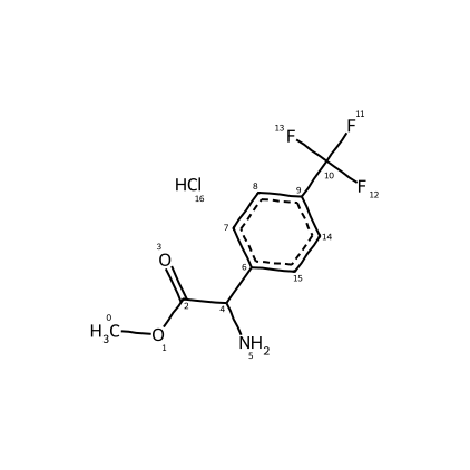 COC(=O)C(N)c1ccc(C(F)(F)F)cc1.Cl